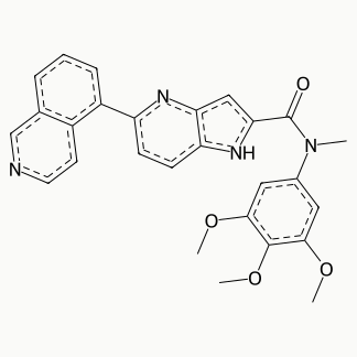 COc1cc(N(C)C(=O)c2cc3nc(-c4cccc5cnccc45)ccc3[nH]2)cc(OC)c1OC